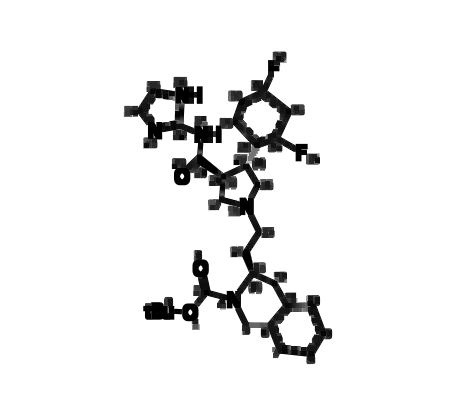 CC(C)(C)OC(=O)N1Cc2ccccc2C[C@@H]1CCN1C[C@@H](C(=O)Nc2ncc[nH]2)[C@H](c2ccc(F)cc2F)C1